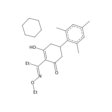 C1CCCCC1.CCON=C(CC)C1=C(O)CC(c2c(C)cc(C)cc2C)CC1=O